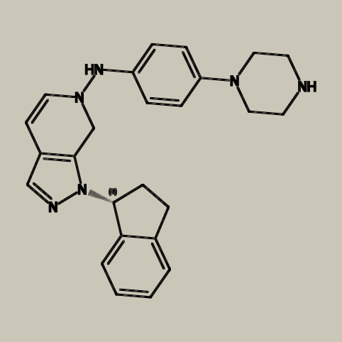 C1=CN(Nc2ccc(N3CCNCC3)cc2)Cc2c1cnn2[C@@H]1CCc2ccccc21